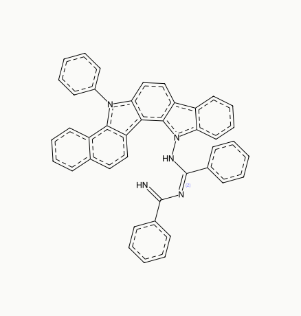 N=C(/N=C(\Nn1c2ccccc2c2ccc3c(c4ccc5ccccc5c4n3-c3ccccc3)c21)c1ccccc1)c1ccccc1